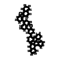 c1ccc2c(c1)-c1c(-c3ccc4c(c3)-c3cccc5c(-c6cccc7oc8c9ccccc9ccc8c67)ccc(c35)O4)cccc1C21c2ccccc2-c2c1ccc1ccccc21